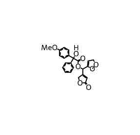 COc1ccc(C(O)(C(=O)OC(C2=CC(=O)OC2)C2=CCOO2)c2ccccc2)cc1